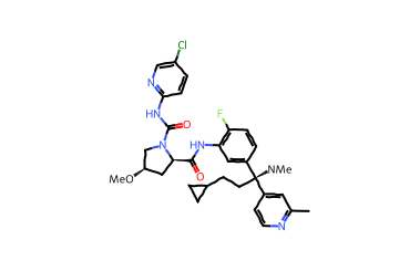 CN[C@](CCC1CC1)(c1ccnc(C)c1)c1ccc(F)c(NC(=O)[C@H]2C[C@@H](OC)CN2C(=O)Nc2ccc(Cl)cn2)c1